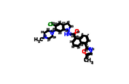 Cc1cnc(-c2cccc3c(C(=O)NN4CCc5cc(Cl)c(N6CCN(C)CC6)cc54)cccc23)o1